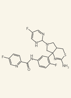 NC1=NC2(c3cc(NC(=O)c4ccc(F)cn4)ccc3F)CN(C3N=CC(F)=CN3)CC2CS1